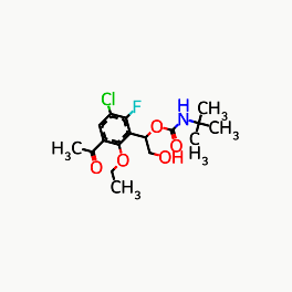 CCOc1c(C(C)=O)cc(Cl)c(F)c1C(CO)OC(=O)NC(C)(C)C